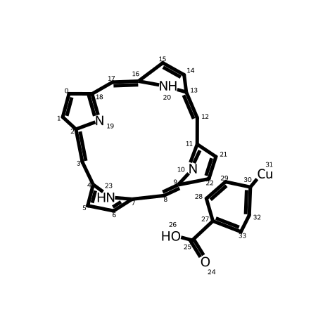 C1=Cc2cc3ccc(cc4nc(cc5ccc(cc1n2)[nH]5)C=C4)[nH]3.O=C(O)c1cc[c]([Cu])cc1